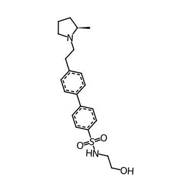 C[C@@H]1CCCN1CCc1ccc(-c2ccc(S(=O)(=O)NCCO)cc2)cc1